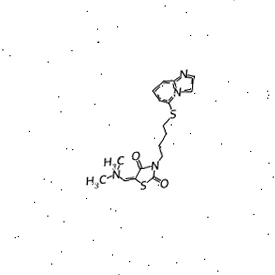 CN(C)C=C1SC(=O)N(CCCCSc2cccc3nccn23)C1=O